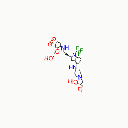 COCC(O)CN1CCC(Nc2cccc3c2cc(C#CCNc2ccc(S(C)(=O)=O)cc2OCCO)n3CC(F)(F)F)CC1